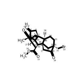 C=C1C[C@]23C=CC(=O)[C@@]1(C)[C@@H]2[C@H](C(=O)OC)[C@]12CC(=O)[C@](CBr)(CC[C@H]31)C2